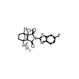 CC12C(=O)N(c3nc4ccc(F)cc4s3)C(=O)[C@@]1(C)[C@@H]1CC[C@H]2O1